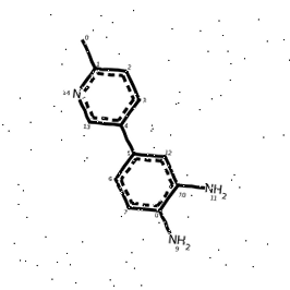 Cc1ccc(-c2ccc(N)c(N)c2)cn1